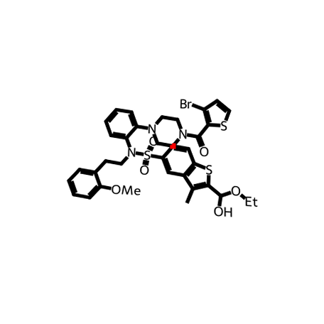 CCOC(O)c1sc2ccc(S(=O)(=O)N(CCc3ccccc3OC)c3ccccc3N3CCN(C(=O)c4sccc4Br)CC3)cc2c1C